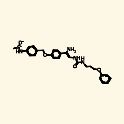 C[S+]([O-])Nc1ccc(COc2ccc(/C(N)=C/NC(=O)NCCCOc3ccccc3)cc2)cc1